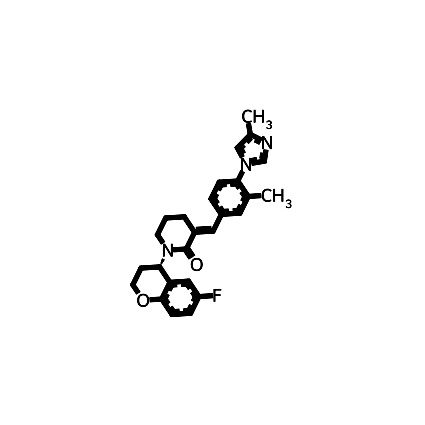 Cc1cn(-c2ccc(/C=C3\CCCN([C@H]4CCOc5ccc(F)cc54)C3=O)cc2C)cn1